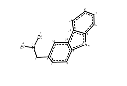 CCN(CC)Cc1ccc2sc3ccccc3c2c1